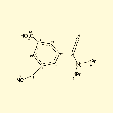 CCCN(CCC)C(=O)c1cc(CC#N)cc(C(=O)O)c1